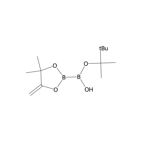 C=C1OB(B(O)OC(C)(C)C(C)(C)C)OC1(C)C